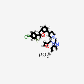 Cc1nc(CN2CCC(c3cccc4c3OC(C)(c3ccc(Cl)cc3F)C4)CC2)n(CC2CCO2)c1/C=C/C(=O)O